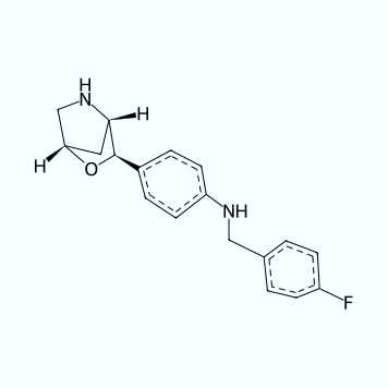 Fc1ccc(CNc2ccc([C@H]3O[C@@H]4CN[C@H]3C4)cc2)cc1